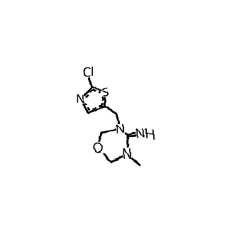 CN1COCN(Cc2cnc(Cl)s2)C1=N